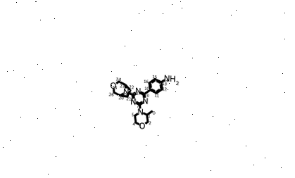 CC1COCCN1c1nc(-c2ccc(N)cc2)nc(N2C3CCC2COC3)n1